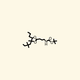 CCCC(OC(=O)CCCNC(=O)OC(C)(C)C)C(C)(C)CC(C)(C)CC